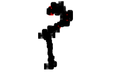 [2H]C(=O)[C@H](CSSC[C@H](N[3H])C(=O)CN[C@@H](Cc1ccccc1)C(N)=O)NC(=O)[C@H](CO)NC(=O)COCCOCCNC(=O)CC[C@H](NC(=O)CCCCCCCCCCCCCCCCC(=O)O)C(=O)O